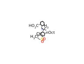 CCCCCCCCc1cc2c(cc1/C(C)=C/c1ccccc1C(=O)O)C(C)(C)CCS2(=O)=O